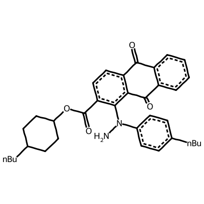 CCCCc1ccc(N(N)c2c(C(=O)OC3CCC(CCCC)CC3)ccc3c2C(=O)c2ccccc2C3=O)cc1